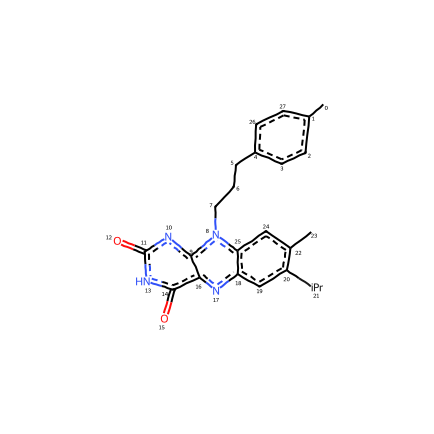 Cc1ccc(CCCn2c3nc(=O)[nH]c(=O)c-3nc3cc(C(C)C)c(C)cc32)cc1